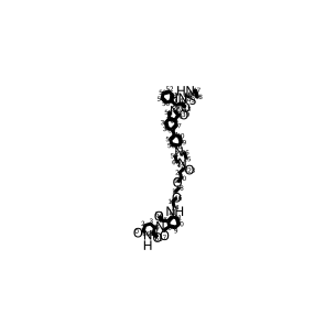 O=C1CCC(N2C(=O)c3cccc(NCCOCCOCCC(=O)N4CCN(c5ccc(-c6ccc7c(c6)C(=O)N(C(C(=O)NC6NC=CS6)c6ccccc6)C7)cc5)CC4)c3C2=O)C(=O)N1